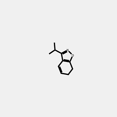 CC(C)c1noc2c1C=CCC2